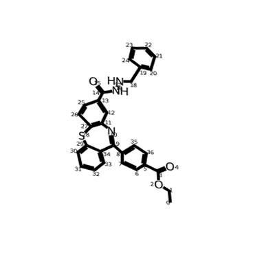 CCOC(=O)c1ccc(C2=Nc3cc(C(=O)NNCc4ccccc4)ccc3Sc3ccccc32)cc1